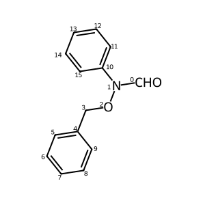 O=CN(OCc1ccccc1)c1ccccc1